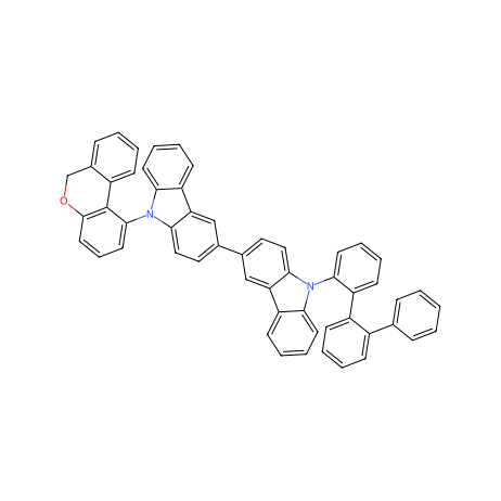 c1ccc(-c2ccccc2-c2ccccc2-n2c3ccccc3c3cc(-c4ccc5c(c4)c4ccccc4n5-c4cccc5c4-c4ccccc4CO5)ccc32)cc1